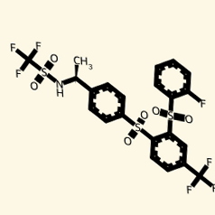 C[C@H](NS(=O)(=O)C(F)(F)F)c1ccc(S(=O)(=O)c2ccc(C(F)(F)F)cc2S(=O)(=O)c2ccccc2F)cc1